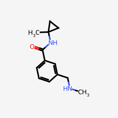 CNCc1cccc(C(=O)NC2(C)CC2)c1